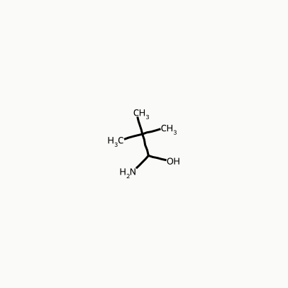 CC(C)(C)C(N)O